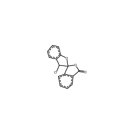 O=C1OC2(Oc3ccccc3C2Cl)c2ccccc21